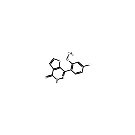 COc1cc(Cl)ccc1-c1n[nH]c(=O)c2ccsc12